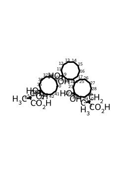 C=C(C)C(=O)O.C=C(C)C(=O)O.OC1(O)CCCCCCCCC1.OC1(O)CCCCCCCCC1.OC1(O)CCCCCCCCC1